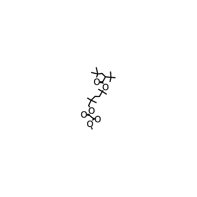 COC(=O)C(=O)OCC(C)(C)CCC(C)(C)OC(=O)C(CC(C)(C)C)C(C)(C)C